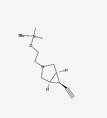 C#C[C@H]1[C@H]2CN(CCO[Si](C)(C)C(C)(C)C)C[C@@H]12